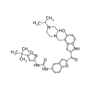 CC(C)N1CCN(Cc2c(O)ccc3[nH]c(C(=O)c4cc5cc(NC(=O)Nc6cc(C(C)(C)C)on6)ccc5o4)cc23)CC1